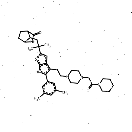 Cc1cc(C)cc(-c2[nH]c3sc(C(C)(C)CC4C5CCC4C(=O)N5)cc3c2CCN2CCN(CC(=O)N3CCCCC3)CC2)c1